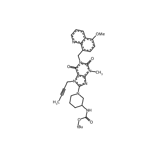 CC#CCn1c(N2CCCC(NC(=O)OC(C)(C)C)C2)nc2c1c(=O)n(Cc1ccc(OC)c3cccnc13)c(=O)n2C